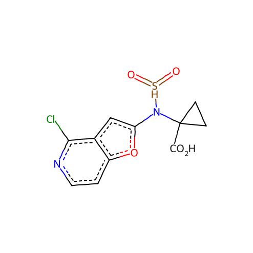 O=C(O)C1(N(c2cc3c(Cl)nccc3o2)[SH](=O)=O)CC1